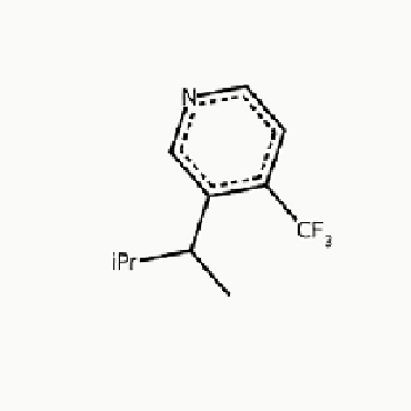 CC(C)C(C)c1cnccc1C(F)(F)F